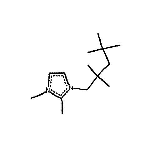 Cc1n(CC(C)(C)CC(C)(C)C)cc[n+]1C